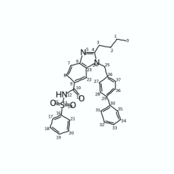 CCCCc1nc2ccc(C(=O)NS(=O)(=O)c3ccccc3)cc2n1Cc1ccc(-c2ccccc2)cc1